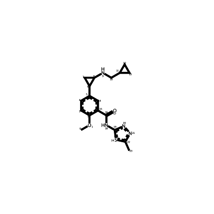 COc1ccc(C2CC2NCC2CC2)cc1C(=O)Nc1nnc(C)s1